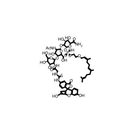 CC(=O)NC1[C@H](OC2[C@@H](OP(=O)(O)OCCOC/C=C(/C)CC/C=C(\C)CCC=C(C)C)OC(C(N)=O)[C@H](O)[C@@H]2O)OC(CO)[C@@H](O[C@@H]2OC(CO)[C@H](O)[C@H](O)C2NC(=O)CNC(=S)Nc2ccc3c(c2)C(=O)OC32c3ccc(O)cc3Oc3cc(O)ccc32)[C@@H]1O